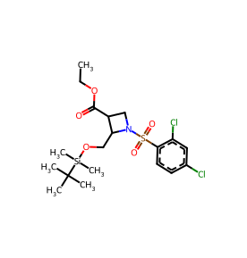 CCOC(=O)C1CN(S(=O)(=O)c2ccc(Cl)cc2Cl)C1CO[Si](C)(C)C(C)(C)C